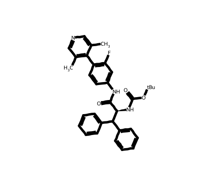 Cc1cncc(C)c1-c1ccc(NC(=O)[C@@H](NC(=O)OC(C)(C)C)C(c2ccccc2)c2ccccc2)cc1F